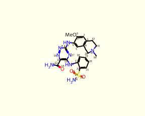 COc1cc2c(cc1Nc1nnc(C(N)=O)c(Nc3ccccc3S(N)(=O)=O)n1)CN(C)CC2